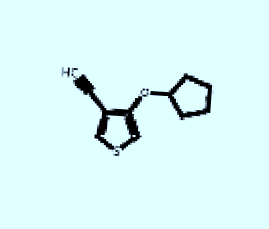 C#Cc1cscc1OC1CCCC1